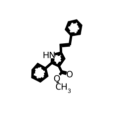 COC(=O)c1cc(C=Cc2ccccc2)[nH]c1-c1ccccc1